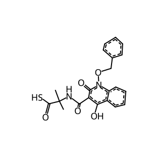 CC(C)(NC(=O)c1c(O)c2ccccc2n(OCc2ccccc2)c1=O)C(=O)S